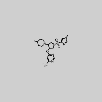 CC1CCN(C2CN(S(=O)(=O)c3cn(C)cn3)CC2Oc2cc(C(F)(F)F)ncn2)CC1